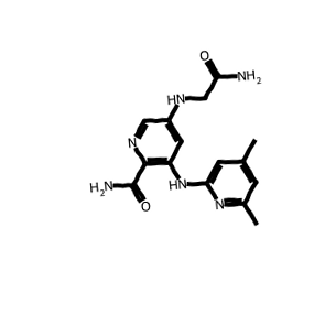 Cc1cc(C)nc(Nc2cc(NCC(N)=O)cnc2C(N)=O)c1